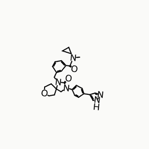 CN(C(=O)c1cccc(CN2C(=O)N(c3ccc(-c4cn[nH]c4)cc3)CC23CCOCC3)c1)C1CC1